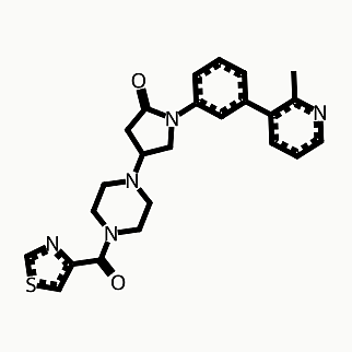 Cc1ncccc1-c1cccc(N2CC(N3CCN(C(=O)c4cscn4)CC3)CC2=O)c1